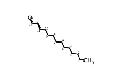 CCCCCCC=CCCCC=CC=O